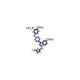 COc1ccc2c(c1)c(C1CCN(Cc3ccc(OC)c(C(=O)O)c3)CC1)cn2Cc1ccc(Cl)s1